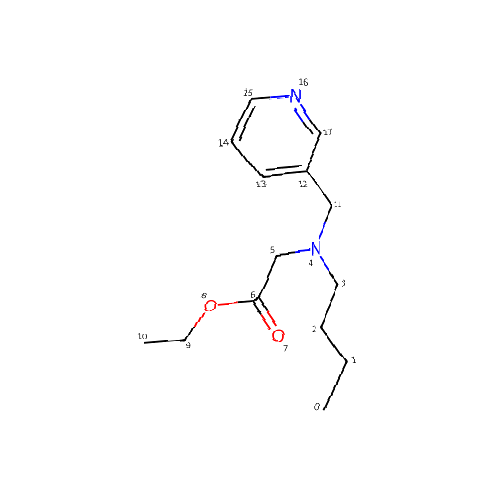 CCCCN(CC(=O)OCC)Cc1cccnc1